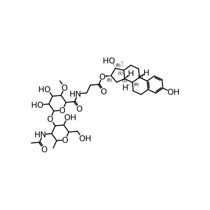 COC1C(C(=O)NCCC(=O)O[C@@H]2C[C@H]3[C@@H]4CCc5cc(O)ccc5[C@H]4CC[C@]3(C)[C@H]2O)OC(OC2C(O)C(CO)OC(C)C2NC(C)=O)C(O)C1O